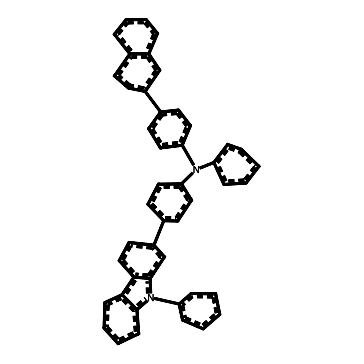 c1ccc(N(c2ccc(-c3ccc4ccccc4c3)cc2)c2ccc(-c3ccc4c5ccccc5n(-c5ccccc5)c4c3)cc2)cc1